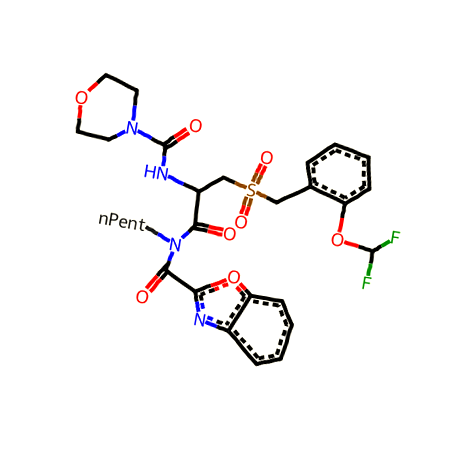 CCCCCN(C(=O)c1nc2ccccc2o1)C(=O)C(CS(=O)(=O)Cc1ccccc1OC(F)F)NC(=O)N1CCOCC1